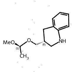 CO[C@H](C)OC[C@H]1CNc2ccccc2C1